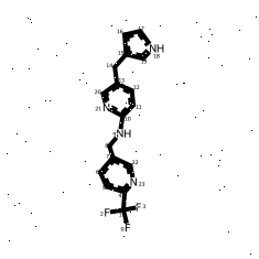 FC(F)(F)c1ccc(CNc2ccc(Cc3cc[nH]c3)cn2)cn1